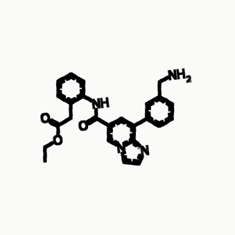 CCOC(=O)Cc1ccccc1NC(=O)c1cc(-c2cccc(CN)c2)c2nccn2c1